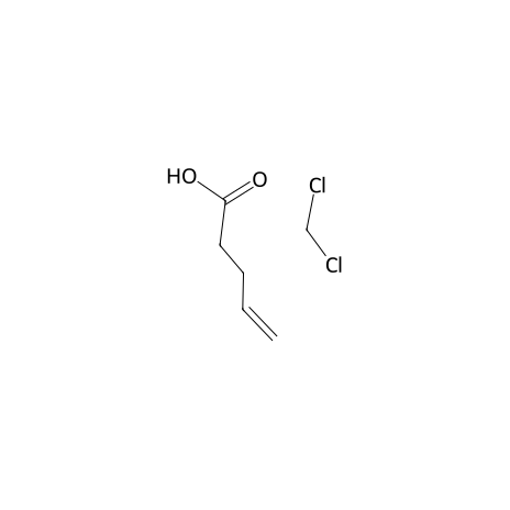 C=CCCC(=O)O.ClCCl